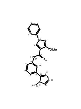 COc1nn(-c2ccccn2)cc1C(=O)Nc1cccc(-c2nncn2C(C)C)n1